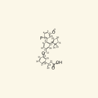 COc1ccc(F)c(-c2ccc(COc3cccc([C@H](C)CC(=O)O)c3)cc2C2=CCCC2(C)C)c1